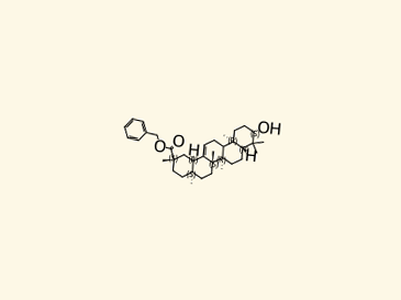 CC1(C)[C@@H](O)CC[C@]2(C)C3CC=C4[C@@H]5C[C@@](C)(C(=O)OCc6ccccc6)CC[C@]5(C)CC[C@@]4(C)[C@]3(C)CC[C@@H]12